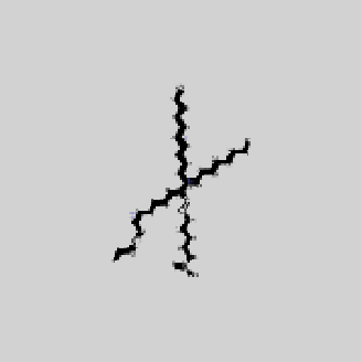 CCC=C=C/C=C\CCCCC(OOCCCCCN(C)C)/C(=C/CCCCCCC)CCC/C=C/CCCCC